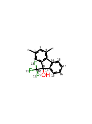 Cc1cc(C)c2c(c1)C(O)(C(F)(F)F)c1ccccc1-2